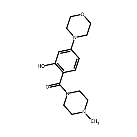 CN1CCN(C(=O)c2ccc(N3CCOCC3)cc2O)CC1